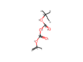 C=C(C)OC(=O)OC(=O)OC(C)(C)C